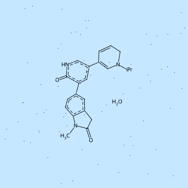 CC(C)N1C=C(c2c[nH]c(=O)c(-c3ccc4c(c3)CC(=O)N4C)c2)C=CC1.O